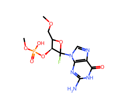 COCC1OC(F)(n2cnc3c(=O)[nH]c(N)nc32)[C@H]1OP(=O)(O)OC